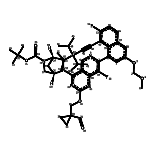 COCOc1cc(-c2ncc3c(N4C[C@@H]5C[C@H]4CN5C(=O)OC(C)(C)C)nc(OCC4(C=O)CC4)nc3c2F)c2c(C#C[Si](C(C)C)(C(C)C)C(C)C)c(F)ccc2c1